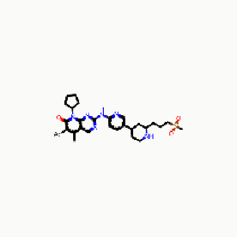 CC(=O)c1c(C)c2cnc(Nc3ccc(C4CCNC(CCCS(C)(=O)=O)C4)cn3)nc2n(C2CCCC2)c1=O